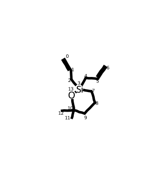 C=CC[Si]1(CC=C)CCCC(C)(C)O1